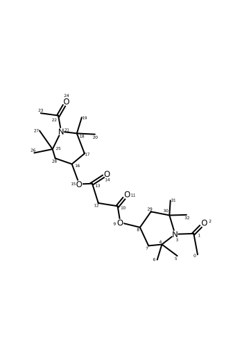 CC(=O)N1C(C)(C)CC(OC(=O)CC(=O)OC2CC(C)(C)N(C(C)=O)C(C)(C)C2)CC1(C)C